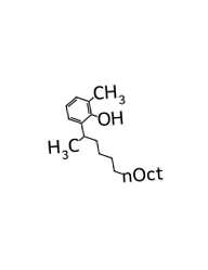 CCCCCCCCCCCCC(C)c1cccc(C)c1O